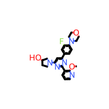 COc1ncccc1-c1nc(-c2ccc(N3CCOCC3)c(F)c2)cc(N2CCC(O)C2)n1